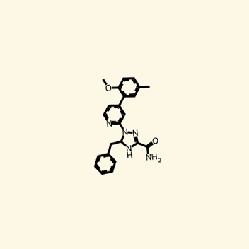 COc1ccc(C)cc1-c1ccnc(N2N=C(C(N)=O)NC2Cc2ccccc2)c1